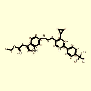 CCOC(=O)Cc1c[nH]c2cc(OCCc3cnc(-c4ccc(C(F)(F)F)cc4)nc3C3CC3)ccc12